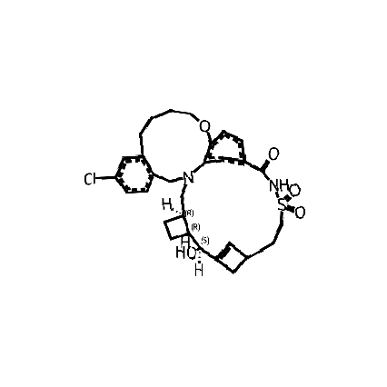 O=C1NS(=O)(=O)CCC2C=C(C2)[C@@H](O)[C@@H]2CC[C@H]2CN2Cc3ccc(Cl)cc3CCCCOc3ccc1cc32